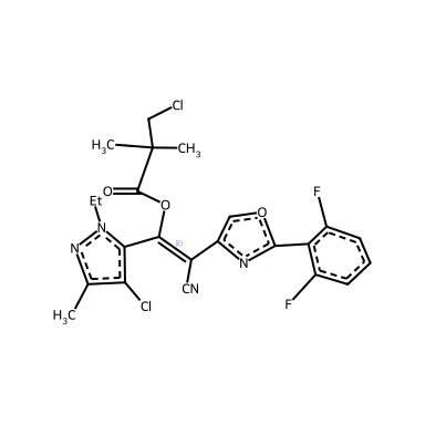 CCn1nc(C)c(Cl)c1/C(OC(=O)C(C)(C)CCl)=C(\C#N)c1coc(-c2c(F)cccc2F)n1